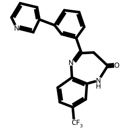 O=C1CC(c2cccc(-c3cccnc3)c2)=Nc2ccc(C(F)(F)F)cc2N1